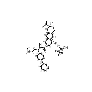 CC(C)[C@]1(F)CCc2nc3c(F)cc(C(=O)N[C@H](CCN(C)C)c4ccc(-c5ccnnc5)nc4)cc3cc2C1.O=C(O)C(F)(F)F